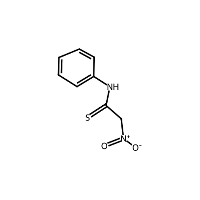 O=[N+]([O-])CC(=S)Nc1ccccc1